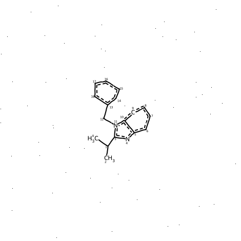 CC(C)c1nc2ccccc2n1Cc1cc[c]cc1